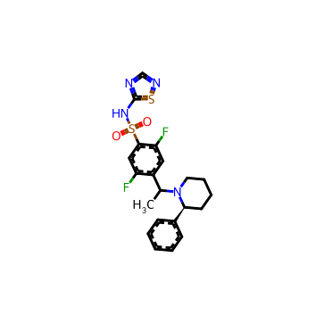 CC(c1cc(F)c(S(=O)(=O)Nc2ncns2)cc1F)N1CCCC[C@H]1c1ccccc1